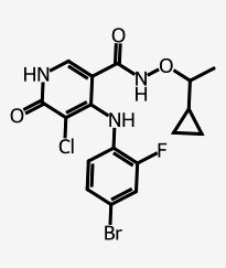 CC(ONC(=O)c1c[nH]c(=O)c(Cl)c1Nc1ccc(Br)cc1F)C1CC1